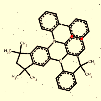 CC1(C)CC(C)(C)c2cc3c(cc21)B1c2ccccc2C(C)(C)c2cccc(c21)N3c1ccccc1-c1ccccc1